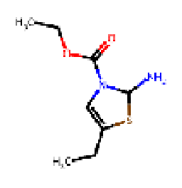 CCOC(=O)N1C=C(CC)SC1N